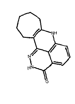 O=c1[nH]nc2c3c(cccc13)NC1=C2CCCCC1